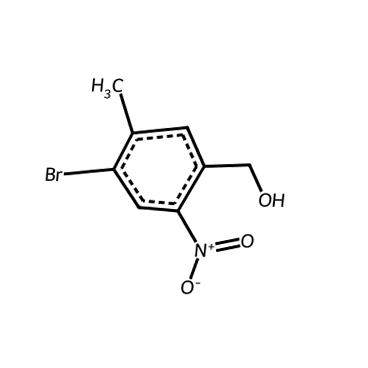 Cc1cc(CO)c([N+](=O)[O-])cc1Br